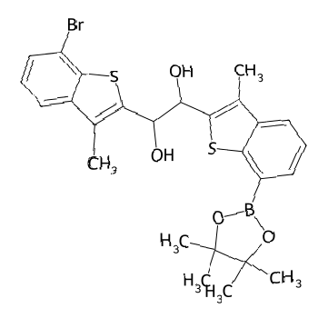 Cc1c(C(O)C(O)c2sc3c(B4OC(C)(C)C(C)(C)O4)cccc3c2C)sc2c(Br)cccc12